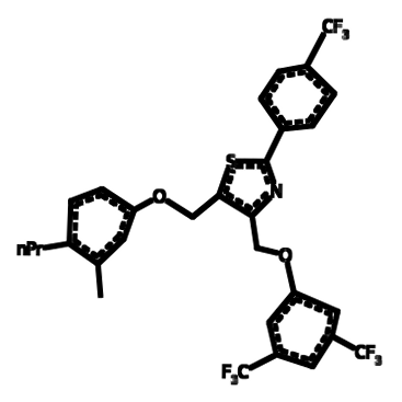 CCCc1ccc(OCc2sc(-c3ccc(C(F)(F)F)cc3)nc2COc2cc(C(F)(F)F)cc(C(F)(F)F)c2)cc1C